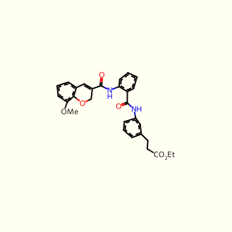 CCOC(=O)CCc1cccc(NC(=O)c2ccccc2NC(=O)C2=Cc3cccc(OC)c3OC2)c1